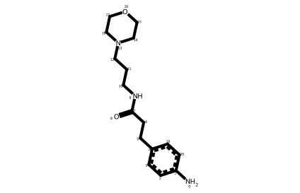 Nc1ccc(CCC(=O)NCCCN2CCOCC2)cc1